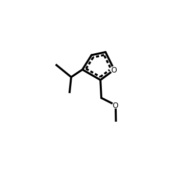 COCc1occc1C(C)C